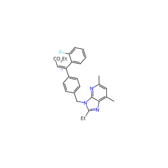 CCOC(=O)/C=C(/c1ccc(Cn2c(CC)nc3c(C)cc(C)nc32)cc1)c1ccccc1F